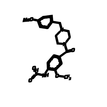 COc1ccc(CN2CCN(C(=O)c3ccc(N[SH](=O)=O)c(OC(F)(F)F)c3)CC2)cc1